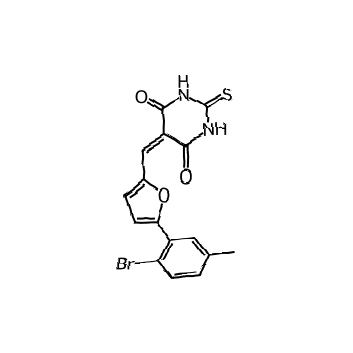 Cc1ccc(Br)c(-c2ccc(C=C3C(=O)NC(=S)NC3=O)o2)c1